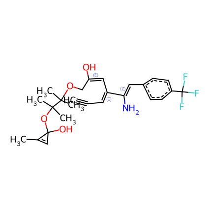 C#C/C=C(\C=C(\O)COC(C)(C)C(C)(C)OC1(O)C=C1C)C(/N)=C/c1ccc(C(F)(F)F)cc1